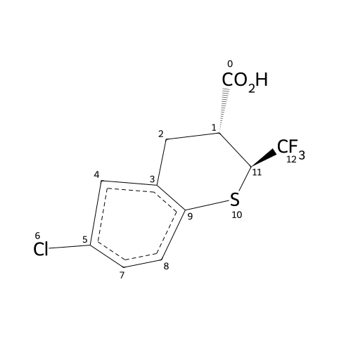 O=C(O)[C@H]1Cc2cc(Cl)ccc2S[C@@H]1C(F)(F)F